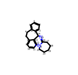 c1ccc2c(c1)CCc1ccccc1C2N=C1CCCCCN1